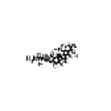 COC1=CC(=O)c2c(O)c3c(c(O)c2C1=O)C(=O)[C@]1(CCc2c1c(O)c1c(=O)[nH]c(C=NNC(N)=O)cc1c2Cl)C3=O